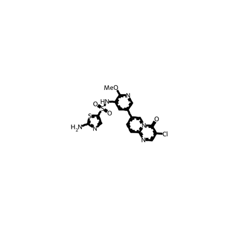 COc1ncc(-c2ccc3ncc(Cl)c(=O)n3c2)cc1NS(=O)(=O)c1cnc(N)s1